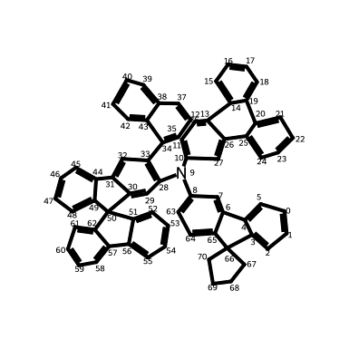 c1ccc2c(c1)-c1cc(N(c3ccc4c5ccccc5c5ccccc5c4c3)c3cc4c(cc3-c3cccc5ccccc35)-c3ccccc3C43c4ccccc4-c4ccccc43)ccc1C21CCCC1